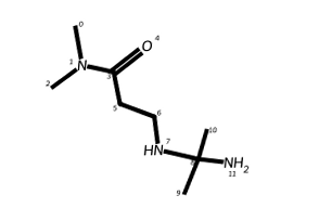 CN(C)C(=O)CCNC(C)(C)N